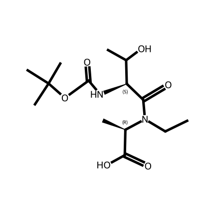 CCN(C(=O)[C@@H](NC(=O)OC(C)(C)C)C(C)O)[C@H](C)C(=O)O